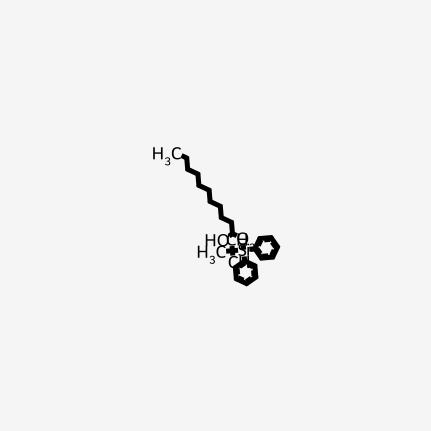 CCCCCCCCCCC(O)O[Si](c1ccccc1)(c1ccccc1)C(C)(C)C